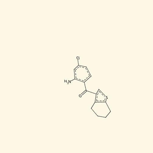 Nc1cc(Cl)ccc1C(=O)c1csc2c1CCCC2